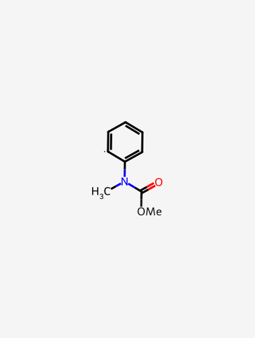 COC(=O)N(C)c1[c]cccc1